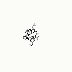 CC(C)Cc1cc(C=N[C@@H]2CCCC[C@H]2N=Cc2cc(CC(C)C)cc(CC(C)C)c2O)c(O)c(CC(C)C)c1